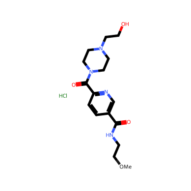 COCCNC(=O)c1ccc(C(=O)N2CCN(CCO)CC2)nc1.Cl